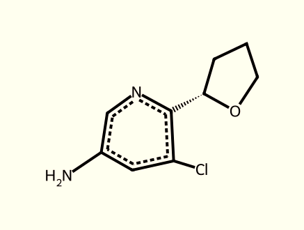 Nc1cnc([C@@H]2CCCO2)c(Cl)c1